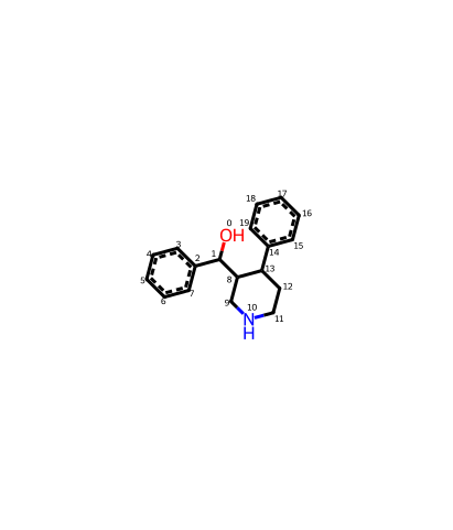 OC(c1ccccc1)C1CNCCC1c1ccccc1